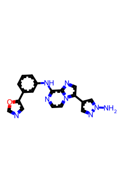 Nn1cc(-c2cnc3c(Nc4cccc(-c5cnco5)c4)nccn23)cn1